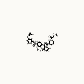 CCC(=O)N1CCCC(c2nc(-c3ccc(C(=O)Nc4cc(OC5CC5)ccn4)cc3)c3c(N)nccn23)C1